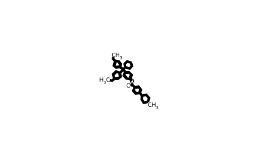 CCc1ccc(C(c2ccc(CC)cc2)(c2ccc(OC(=O)c3ccc(C4CCC(C)CC4)cc3)cc2)C2CCCCC2)cc1